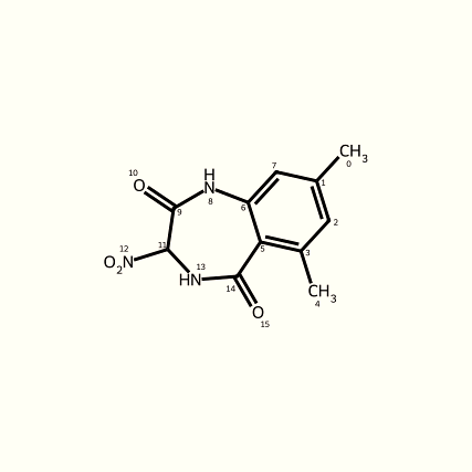 Cc1cc(C)c2c(c1)NC(=O)C([N+](=O)[O-])NC2=O